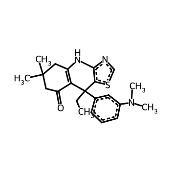 CCC1(c2cccc(N(C)C)c2)C2=C(CC(C)(C)CC2=O)Nc2ncsc21